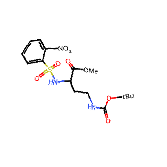 COC(=O)C(CCNC(=O)OC(C)(C)C)NS(=O)(=O)c1ccccc1[N+](=O)[O-]